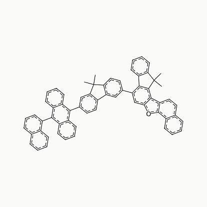 CC1(C)c2ccc(-c3cc4oc5c6ccccc6ccc5c4c4c3-c3ccccc3C4(C)C)cc2-c2ccc(-c3c4ccccc4c(-c4cccc5ccccc45)c4ccccc34)cc21